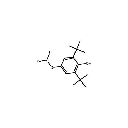 CC(C)(C)c1cc(OP(F)F)cc(C(C)(C)C)c1O